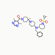 Cc1ncnc(C)c1C(=O)N1CCC(C)(N2CCC(N(Cc3ccccc3)C3CCCN(S(=O)(=O)C4CC4)C3)CC2)CC1